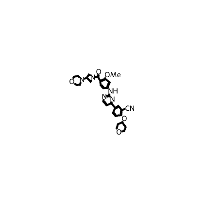 COc1cc(Nc2nccc(-c3ccc(OC4CCOCC4)c(C#N)c3)n2)ccc1C(=O)N1CC(N2CCOCC2)C1